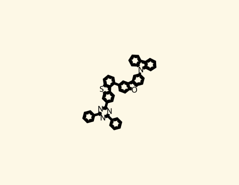 c1ccc(-c2nc(-c3ccccc3)nc(-c3ccc4c(c3)sc3cccc(-c5ccc6oc7ccc(-n8c9ccccc9c9ccccc98)cc7c6c5)c34)n2)cc1